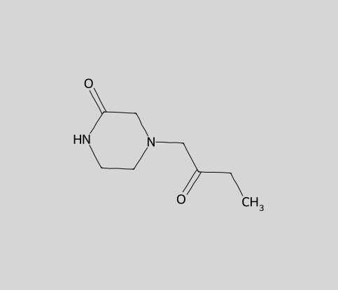 CCC(=O)CN1CCNC(=O)C1